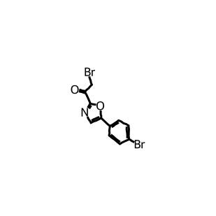 O=C(CBr)c1ncc(-c2ccc(Br)cc2)o1